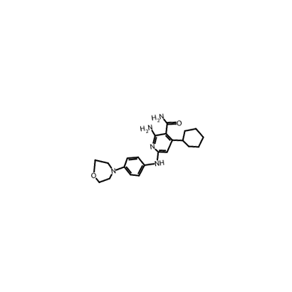 NC(=O)c1c(C2CCCCC2)cc(Nc2ccc(N3CCOCC3)cc2)nc1N